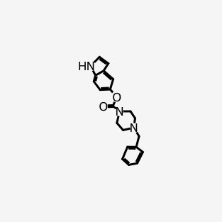 O=C(Oc1ccc2[nH]ccc2c1)N1CCN(Cc2ccccc2)CC1